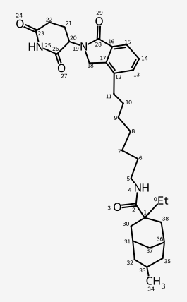 CCC1(C(=O)NCCCCCCCc2cccc3c2CN(C2CCC(=O)NC2=O)C3=O)CC2CC(C)CC(C2)C1